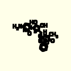 CC(NP(=O)(OC[C@H]1S[C@@H](n2ccc(N)nc2=O)[C@@H](O)[C@@H]1O)Oc1ccccc1)C(=O)O